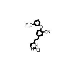 N#Cc1cc(CCc2ccnc(Cl)n2)ccc1Oc1cccc(C(F)(F)F)c1